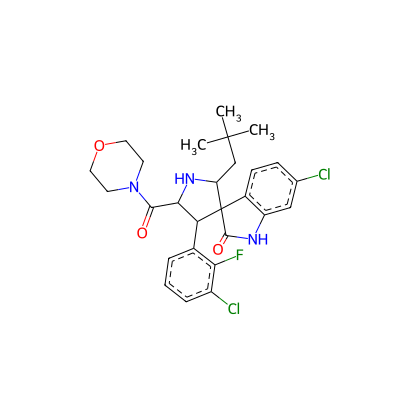 CC(C)(C)CC1NC(C(=O)N2CCOCC2)C(c2cccc(Cl)c2F)C12C(=O)Nc1cc(Cl)ccc12